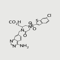 Nc1ncnc2cc(CN3C(=O)CN(S(=O)(=O)c4cc5ccc(Cl)cc5s4)CC3CC(=O)O)ccc12